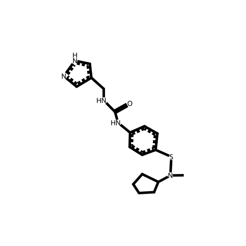 CN(Sc1ccc(NC(=O)NCc2cn[nH]c2)cc1)C1CCCC1